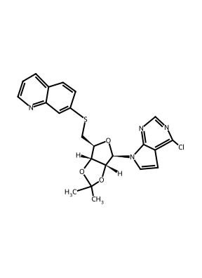 CC1(C)O[C@@H]2[C@H](O1)[C@@H](CSc1ccc3cccnc3c1)O[C@H]2n1ccc2c(Cl)ncnc21